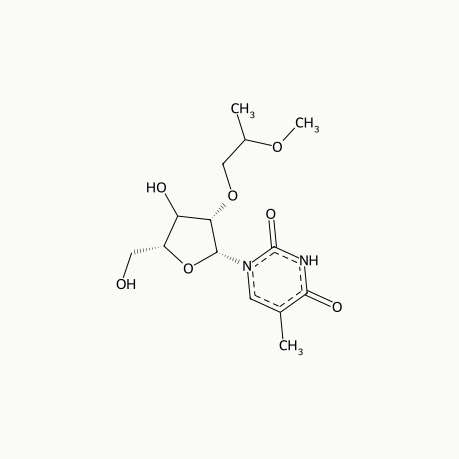 COC(C)CO[C@H]1C(O)[C@@H](CO)O[C@H]1n1cc(C)c(=O)[nH]c1=O